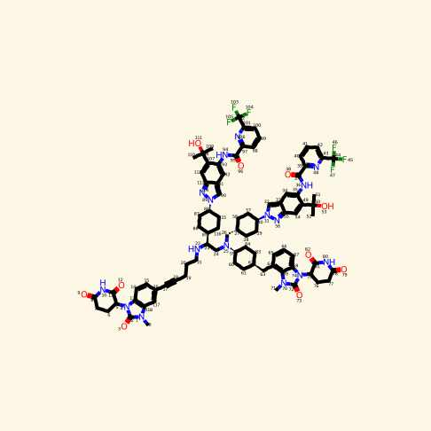 Cn1c(=O)n(C2CCC(=O)NC2=O)c2ccc(C#CCCCNC(CN(C[C@H]3CC[C@H](n4cc5cc(NC(=O)c6cccc(C(F)(F)F)n6)c(C(C)(C)O)cc5n4)CC3)[C@H]3CC[C@H](Cc4cccc5c4n(C)c(=O)n5C4CCC(=O)NC4=O)CC3)[C@H]3CC[C@H](n4cc5cc(NC(=O)c6cccc(C(F)(F)F)n6)c(C(C)(C)O)cc5n4)CC3)cc21